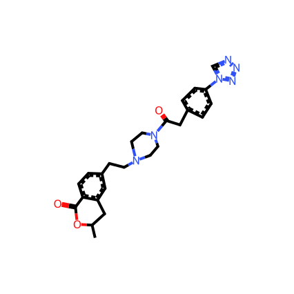 CC1Cc2cc(CCN3CCN(C(=O)Cc4ccc(-n5cnnn5)cc4)CC3)ccc2C(=O)O1